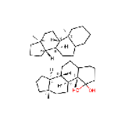 C[C@@]12CCC[C@H]1[C@@H]1CCC3CCCC(O)(O)[C@]3(C)[C@H]1CC2.C[C@@]12CCC[C@H]1[C@@H]1CCC3CCCC[C@]3(C)[C@H]1CC2